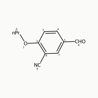 CCCOc1ccc(C=O)cc1C#N